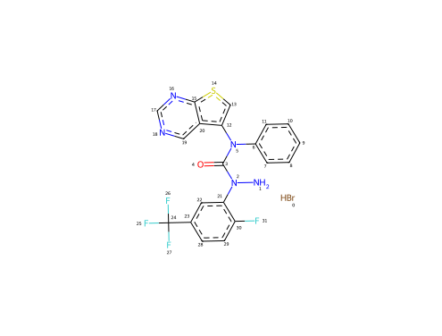 Br.NN(C(=O)N(c1ccccc1)c1csc2ncncc12)c1cc(C(F)(F)F)ccc1F